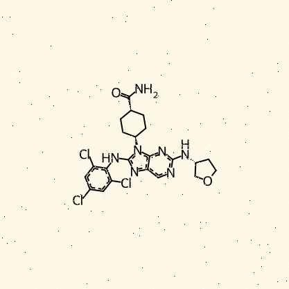 NC(=O)[C@H]1CC[C@@H](n2c(Nc3c(Cl)cc(Cl)cc3Cl)nc3cnc(N[C@@H]4CCOC4)nc32)CC1